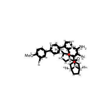 COc1ccc(-c2ccc(-c3cnn4c(N)c(C(C)=O)c(C5C[C@H]6CC[C@@H](C5)N6C(=O)N5CSC(N)C5)nc34)cn2)cc1F